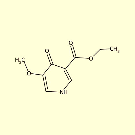 CCOC(=O)c1c[nH]cc(OC)c1=O